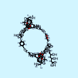 CN[C@@H](C)C(=O)N[C@H](C(=O)N1CC[C@@H]2[C@H]1C(=O)N[C@@H](Cc1ccc3ccccc3c1)C(=O)N[C@H](C(=O)O)Cc1ccc(cc1)OCc1cn(nn1)[C@@H]1CCN(C(=O)[C@@H](NC(=O)[C@H](C)NC)C(C)(C)C)[C@@H]1C(=O)N[C@@H](Cc1ccc3ccccc3c1)C(=O)N[C@H](C(=O)NCC[C@@H](O)C[C@@H](O)CC(=O)O)Cc1ccc(cc1)OCc1cn2nn1)C(C)(C)C